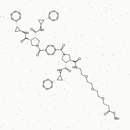 CC(C)(C)OC(=O)CCOCCOCCOCCNC(=O)[C@@H]1CN(C(=O)c2ccc(C(=O)N3C[C@@H](C(=O)N[C@H]4C[C@@H]4c4ccccc4)[C@H](C(=O)N[C@H]4C[C@@H]4c4ccccc4)C3)cc2)C[C@H]1C(=O)N[C@H]1C[C@@H]1c1ccccc1